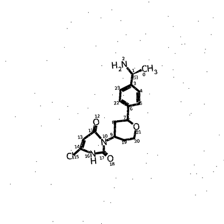 C[C@H](N)c1ccc(C2CC(n3c(=O)cc(Cl)[nH]c3=O)CCO2)cc1